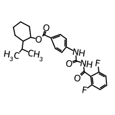 CC(C)C1CCCCC1OC(=O)c1ccc(NC(=O)NC(=O)c2c(F)cccc2F)cc1